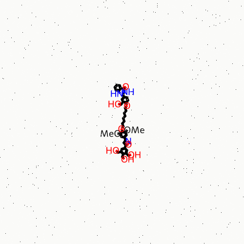 COc1cc(C2=NOC(c3cc(CO)c(CO)c(CO)c3)C2)cc(OC)c1OCCCCCCCCOc1ccc(C2NC(=O)c3ccccc3N2)cc1CO